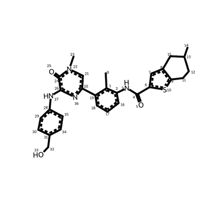 Cc1c(NC(=O)c2cc3c(s2)CCC(C)C3)cccc1-c1cn(C)c(=O)c(Nc2ccc(CO)cc2)n1